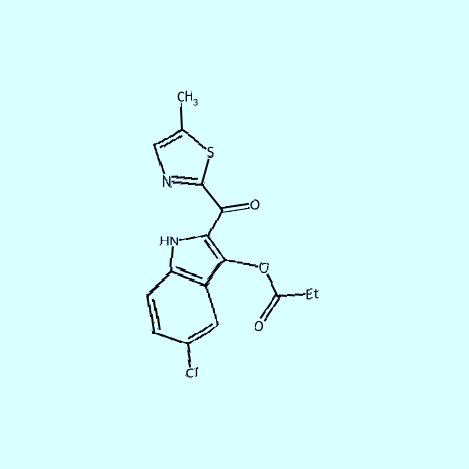 CCC(=O)Oc1c(C(=O)c2ncc(C)s2)[nH]c2ccc(Cl)cc12